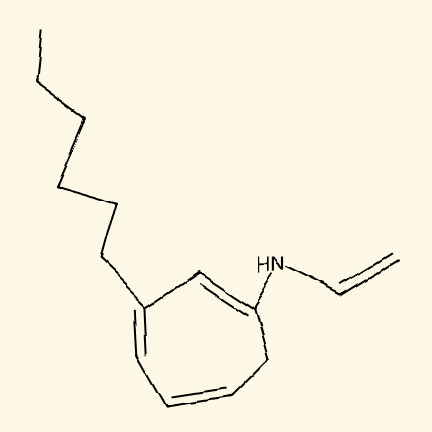 C=CNC1=CC(CCCCCC)=CC=CC1